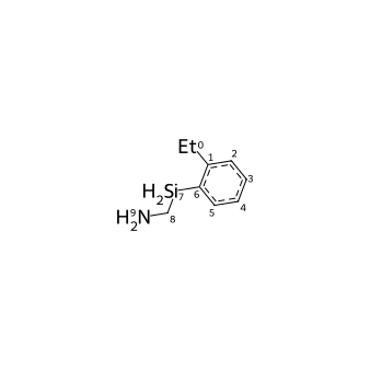 CCc1ccccc1[SiH2]CN